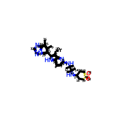 Cc1c(-c2[nH]c3ccc(NC(C)(C)C(C)(C)NC4CCS(=O)(=O)CC4)nc3c2C(C)C)cn2ncnc2c1C